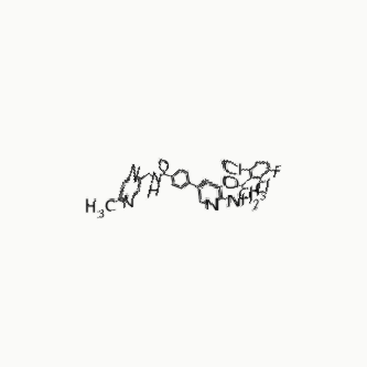 Cc1cnc(CNC(=O)c2ccc(-c3cnc(N)c(OC(C)c4c(Cl)ccc(F)c4Cl)c3)cc2)cn1